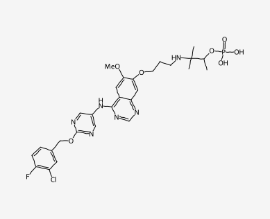 COc1cc2c(Nc3cnc(OCc4ccc(F)c(Cl)c4)nc3)ncnc2cc1OCCCNC(C)(C)C(C)OP(=O)(O)O